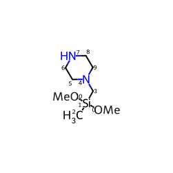 CO[Si](C)(CN1CCNCC1)OC